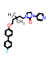 CC(C)(CCOc1ccc(-c2ccc(F)cc2)cc1)CCN1CCN(c2ccncc2)C1=O